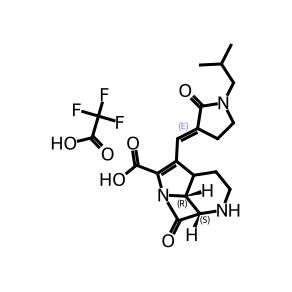 CC(C)CN1CC/C(=C\C2=C(C(=O)O)N3C(=O)[C@H]4NCCC2[C@H]43)C1=O.O=C(O)C(F)(F)F